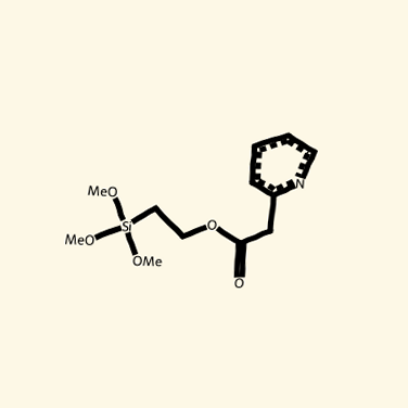 CO[Si](CCOC(=O)Cc1ccccn1)(OC)OC